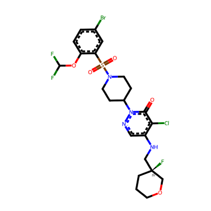 O=c1c(Cl)c(NC[C@@]2(F)CCCOC2)cnn1C1CCN(S(=O)(=O)c2cc(Br)ccc2OC(F)F)CC1